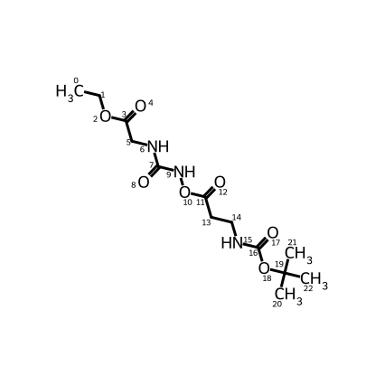 CCOC(=O)CNC(=O)NOC(=O)CCNC(=O)OC(C)(C)C